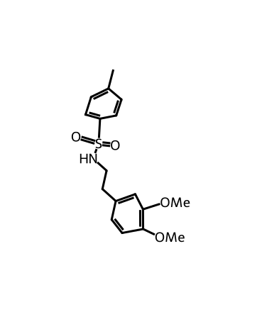 COc1ccc(CCNS(=O)(=O)c2ccc(C)cc2)cc1OC